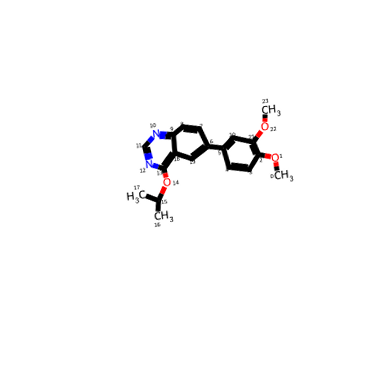 COc1ccc(-c2ccc3ncnc(OC(C)C)c3c2)cc1OC